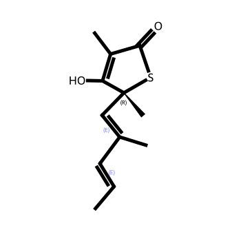 C/C=C/C(C)=C/[C@@]1(C)SC(=O)C(C)=C1O